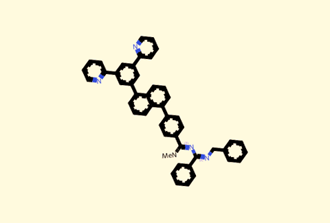 CN/C(=N\C(=N/Cc1ccccc1)c1ccccc1)c1ccc(-c2cccc3c(-c4cc(-c5ccccn5)cc(-c5ccccn5)c4)cccc23)cc1